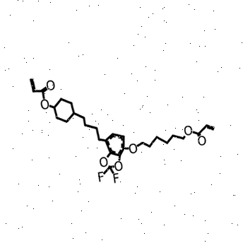 C=CC(=O)OCCCCCCOc1ccc(CCCCC2CCC(OC(=O)C=C)CC2)c2c1OC(F)(F)O2